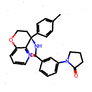 Cc1ccc([C@@]2(NC(=O)c3cccc(N4CCCC4=O)c3)CCOc3cccnc32)cc1